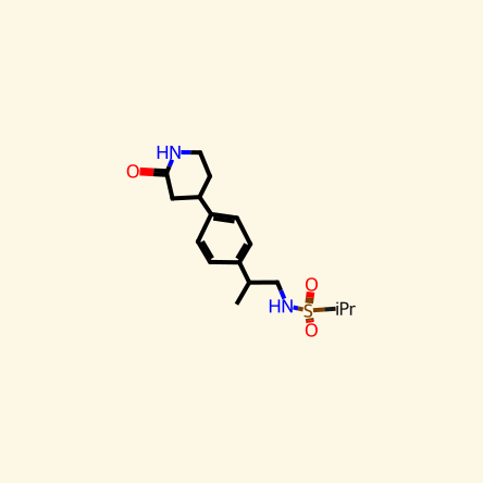 CC(CNS(=O)(=O)C(C)C)c1ccc(C2CCNC(=O)C2)cc1